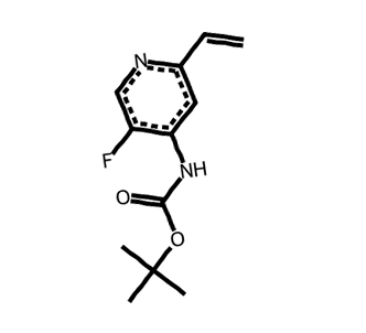 C=Cc1cc(NC(=O)OC(C)(C)C)c(F)cn1